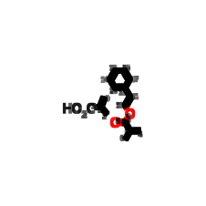 C=C(C)C(=O)O.C=C(C)C(=O)O/C=C/c1ccccc1